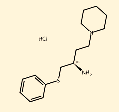 Cl.N[C@H](CCN1CCCCC1)CSc1ccccc1